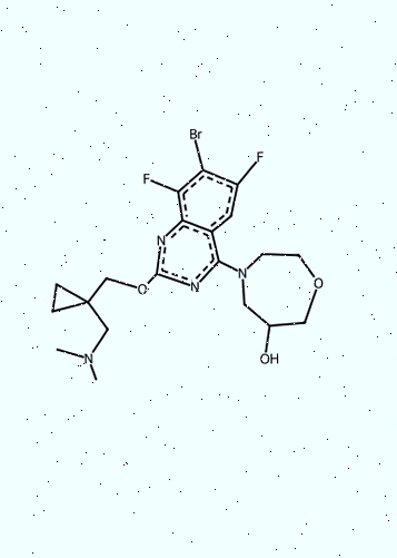 CN(C)CC1(COc2nc(N3CCOCC(O)C3)c3cc(F)c(Br)c(F)c3n2)CC1